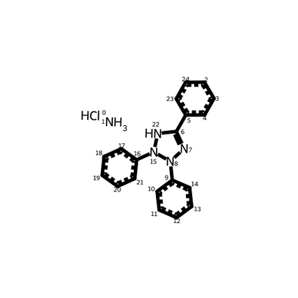 Cl.N.c1ccc(C2=NN(c3ccccc3)N(c3ccccc3)N2)cc1